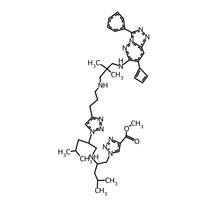 COC(=O)c1cn(CC(CC(C)C)NCC(CC(C)C)n2cc(CCCNCC(C)(C)CNc3nn4c(-c5ccccc5)nnc4cc3C3=CC=C3)nn2)nn1